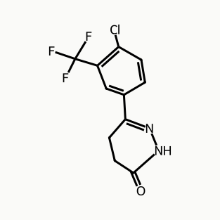 O=C1CCC(c2ccc(Cl)c(C(F)(F)F)c2)=NN1